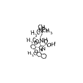 COc1cccc(OC)c1-c1c(C(=O)NCC[N+](C)(C)C)c(C(=O)O)nn1-c1cccc2ccccc12